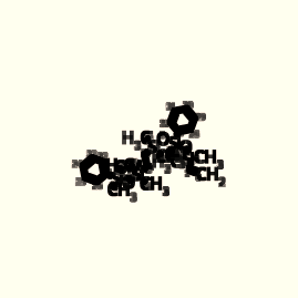 C=C[Si](C)(C)O[Si](C)(O[Si](C)(C)CC[Si](C)(C)O[Si](C)(OC)c1ccccc1)c1ccccc1